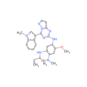 C=CC(=O)Nc1cc(Nc2nc(-c3cn(C)c4ccccc34)n3nccc3n2)c(OC)cc1N(C)C